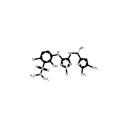 Cc1cc([C@H](Nc2n[s+]([O-])nc2Nc2ccc(Cl)c(S(=O)(=O)N(C)C)c2O)C(C)C)oc1C